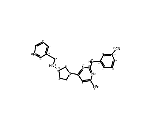 CCCc1cc(N2CC[C@H](NCc3cccnc3)C2)nc(Nc2cccc(C#N)c2)n1